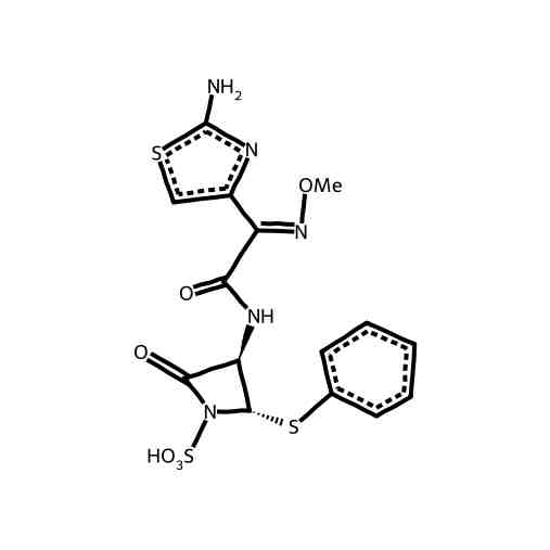 CON=C(C(=O)N[C@@H]1C(=O)N(S(=O)(=O)O)[C@H]1Sc1ccccc1)c1csc(N)n1